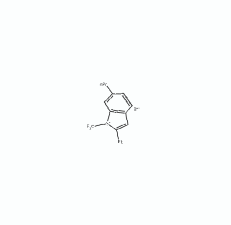 CCCc1ccc2cc(CC)[s+](C(F)(F)F)c2c1.[Br-]